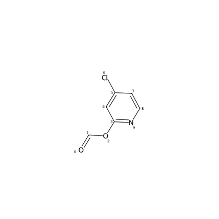 O=COc1cc(Cl)ccn1